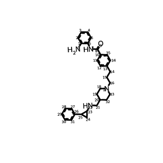 Nc1ccccc1NC(=O)c1ccc(CCCN2CCC(CNC3CC3c3ccccc3)CC2)cc1